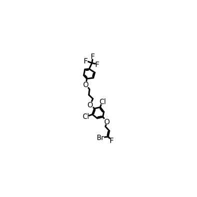 F/C(Br)=C/COc1cc(Cl)c(OCCCOc2ccc(C(F)(F)F)cc2)c(Cl)c1